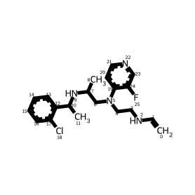 C=CNCCN(CC(C)NC(C)c1ccccc1Cl)c1ccncc1F